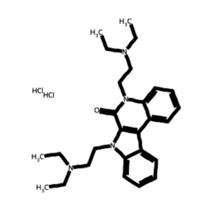 CCN(CC)CCn1c(=O)c2c(c3ccccc31)c1ccccc1n2CCN(CC)CC.Cl.Cl